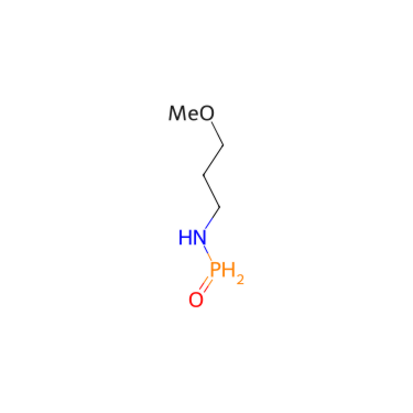 COCCCN[PH2]=O